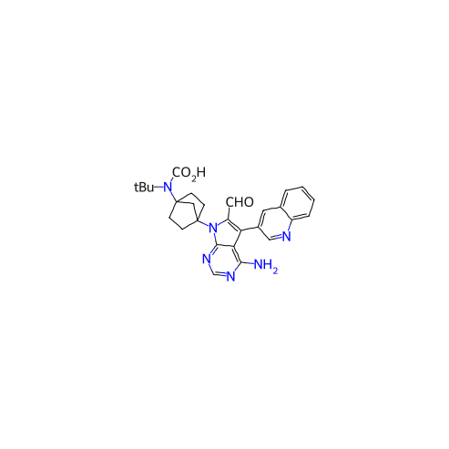 CC(C)(C)N(C(=O)O)C12CCC(n3c(C=O)c(-c4cnc5ccccc5c4)c4c(N)ncnc43)(CC1)C2